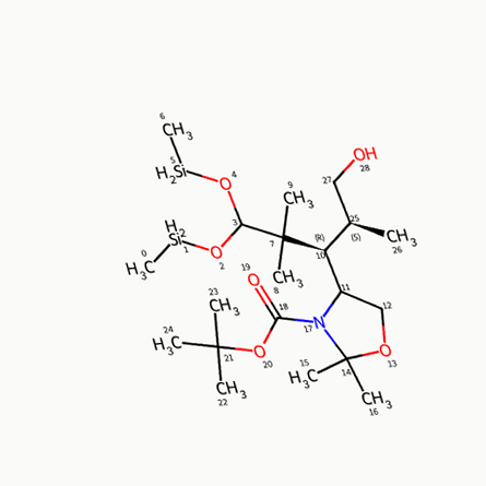 C[SiH2]OC(O[SiH2]C)C(C)(C)[C@H](C1COC(C)(C)N1C(=O)OC(C)(C)C)[C@H](C)CO